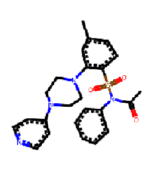 CC(=O)N(c1ccccc1)S(=O)(=O)c1ccc(C)cc1N1CCN(c2ccncc2)CC1